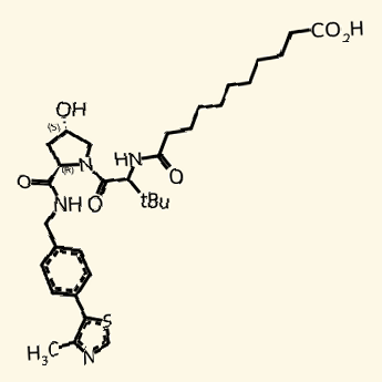 Cc1ncsc1-c1ccc(CNC(=O)[C@H]2C[C@H](O)CN2C(=O)C(NC(=O)CCCCCCCCCC(=O)O)C(C)(C)C)cc1